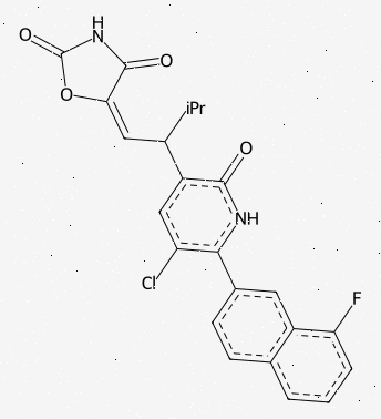 CC(C)C(C=C1OC(=O)NC1=O)c1cc(Cl)c(-c2ccc3cccc(F)c3c2)[nH]c1=O